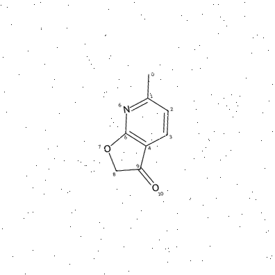 Cc1ccc2c(n1)OCC2=O